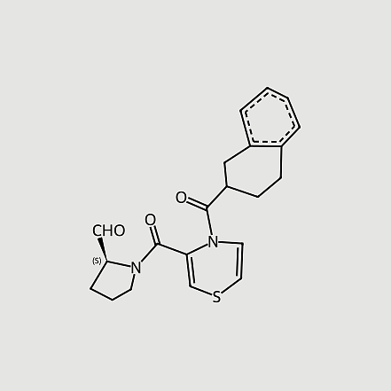 O=C[C@@H]1CCCN1C(=O)C1=CSC=CN1C(=O)C1CCc2ccccc2C1